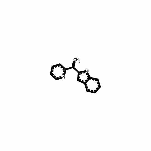 C=C(c1ccccn1)c1cc2ccccc2[nH]1